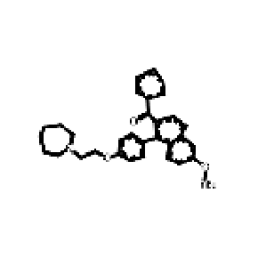 CCCCOc1ccc2c(-c3ccc(OCCN4CCCCCC4)cc3)c(C(=O)c3ccccc3)ccc2c1